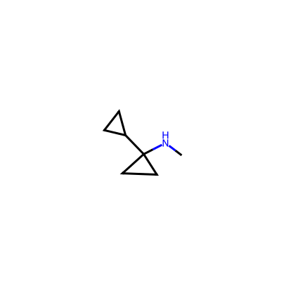 CNC1(C2CC2)CC1